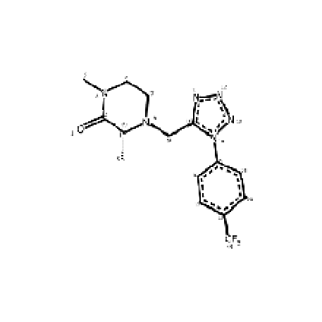 C[C@@H]1C(=O)N(C)CCN1Cc1nnnn1-c1ccc(C(F)(F)F)cc1